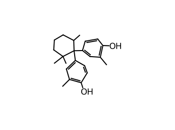 Cc1cc(C2(c3ccc(O)c(C)c3)C(C)CCCC2(C)C)ccc1O